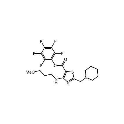 COCCCNc1nc(CN2CCCCC2)sc1C(=O)Oc1c(F)c(F)c(F)c(F)c1F